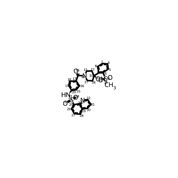 CS(=O)(=O)c1ccccc1C1(O)CCN(C(=O)c2ccc(NS(=O)(=O)c3cccc4cccnc34)cc2)CC1